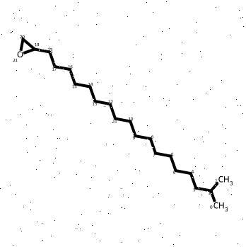 CC(C)CCCCCCCCCCCCCCC[CH]C1CO1